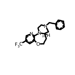 FC(F)(F)c1cnc2c(c1)OCC[C@H]1CN(Cc3ccccc3)CCN21